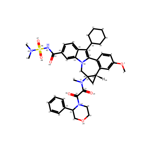 COc1ccc2c(c1)[C@@H]1C[C@]1(N(C)C(=O)C(=O)N1CCOCC1c1ccccc1)Cn1c-2c(C2CCCCC2)c2ccc(C(=O)NS(=O)(=O)N(C)C)cc21